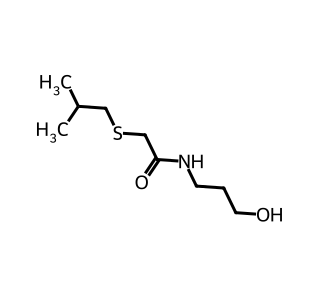 CC(C)CSCC(=O)NCCCO